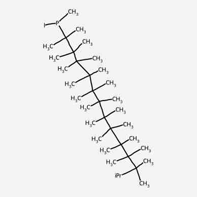 CC(C)C(C)(C)C(C)(C)C(C)(C)C(C)(C)C(C)(C)C(C)(C)C(C)(C)C(C)(C)C(C)(C)C(C)(C)C(C)(C)P(C)I